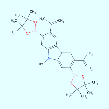 C=C(C)c1cc2c3cc(C(=C)C)c(B4OC(C)(C)C(C)(C)O4)cc3n(C(C)C)c2cc1B1OC(C)(C)C(C)(C)O1